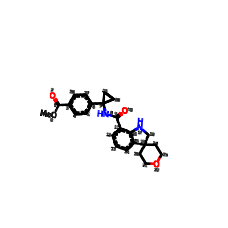 COC(=O)c1ccc(C2(NC(=O)c3cccc4c3NCC43CCOCC3)CC2)cc1